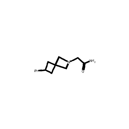 CC(C)C1CC2(C1)CN(CC(N)=O)C2